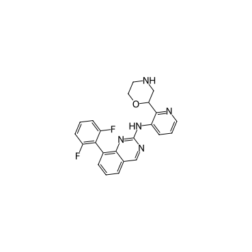 Fc1cccc(F)c1-c1cccc2cnc(Nc3cccnc3C3CNCCO3)nc12